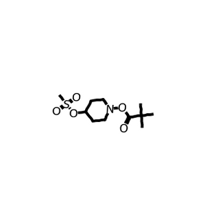 CC(C)(C)C(=O)ON1CCC(OS(C)(=O)=O)CC1